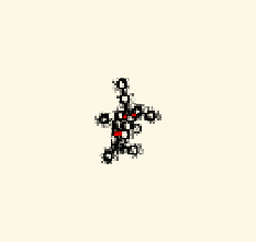 O=C1c2ccccc2C2(c3ccccc31)c1cc(-c3nc(-c4ccccc4)nc(-c4ccccc4)n3)ccc1N(c1ccccc1)c1ccc(N(c3ccc(-c4ccccc4)cc3)c3ccc(-c4ccccc4)cc3)cc12